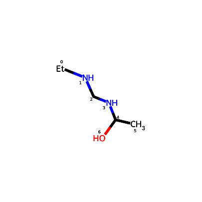 CCNCNC(C)O